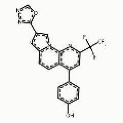 Oc1ccc(-c2cc(C(F)(F)C(F)(F)F)nc3c2ccc2nc(-c4nnco4)cn23)cc1